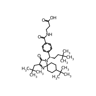 CC(C)(C)CC[C@H](c1ccc(C(=O)NCCC(=O)O)cc1)N1C(=O)C(CC(C)(C)C)=NC12CCC(C(C)(C)C)CC2